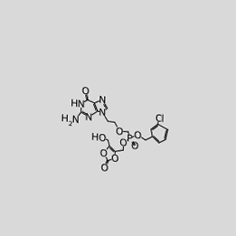 Nc1nc2c(ncn2CCOCP(=O)(OCc2cccc(Cl)c2)OCc2oc(=O)oc2CO)c(=O)[nH]1